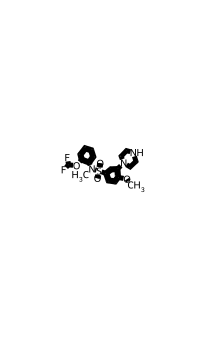 COc1ccc(S(=O)(=O)N(C)c2ccccc2OC(F)F)cc1N1CCNCC1